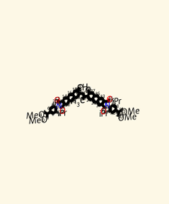 COCC(COC)c1cc(C(C)C)c(N2C(=O)c3cc4cc5cc(C)c(CC(C)c6cc7cc8cc9c(cc8cc7cc6C)C(=O)N(c6c(C(C)C)cc(C(COC)COC)cc6C(C)C)C9=O)cc5cc4cc3C2=O)c(C(C)C)c1